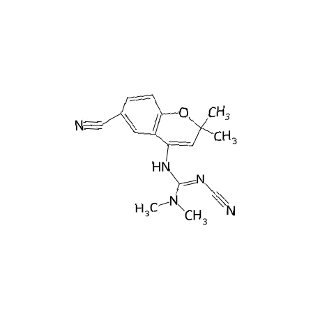 CN(C)C(=NC#N)NC1=CC(C)(C)Oc2ccc(C#N)cc21